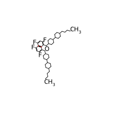 CCCCCC1CCC(C2CCC(C(OC(c3ccc(F)cc3F)C3CCC(C4CCC(CCCCC)CC4)CC3)c3ccc(F)cc3F)CC2)CC1